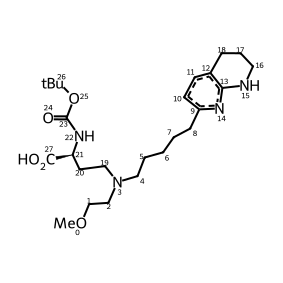 COCCN(CCCCCc1ccc2c(n1)NCCC2)CC[C@H](NC(=O)OC(C)(C)C)C(=O)O